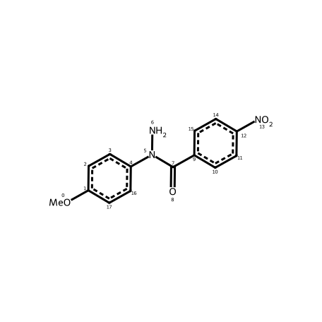 COc1ccc(N(N)C(=O)c2ccc([N+](=O)[O-])cc2)cc1